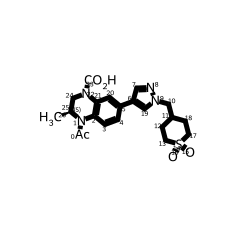 CC(=O)N1c2ccc(-c3cnn(CC4CCS(=O)(=O)CC4)c3)cc2N(C(=O)O)C[C@@H]1C